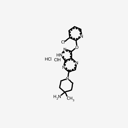 CC1(N)CCN(c2cnc3c(Oc4ncccc4Cl)n[nH]c3n2)CC1.Cl.Cl